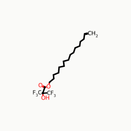 C=CCCCCCCCCCCCCCCOC(=O)C(O)(C(F)(F)F)C(F)(F)F